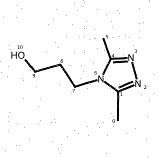 Cc1nnc(C)n1CCCO